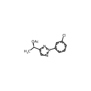 CC(=O)O[C@H](C)c1cnn(-c2cccc(Cl)c2)n1